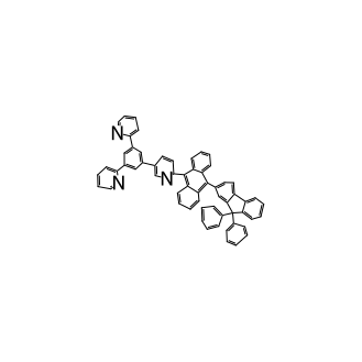 c1ccc(C2(c3ccccc3)c3ccccc3-c3ccc(-c4c5ccccc5c(-c5ccc(-c6cc(-c7ccccn7)cc(-c7ccccn7)c6)cn5)c5ccccc45)cc32)cc1